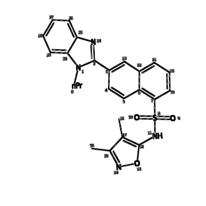 CCCn1c(-c2ccc3c(S(=O)(=O)Nc4onc(C)c4C)cccc3c2)nc2ccccc21